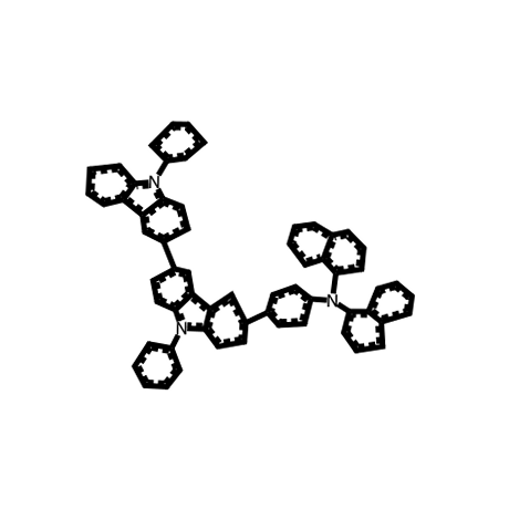 c1ccc(-n2c3ccccc3c3cc(-c4ccc5c(c4)c4cc(-c6ccc(N(c7cccc8ccccc78)c7cccc8ccccc78)cc6)ccc4n5-c4ccccc4)ccc32)cc1